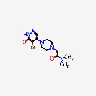 CN(C)C(=O)CN1CCN(c2cn[nH]c(=O)c2Br)CC1